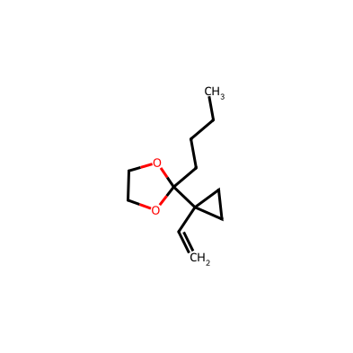 C=CC1(C2(CCCC)OCCO2)CC1